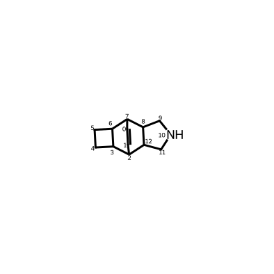 C1=CC2C3CCC3C1C1CNCC21